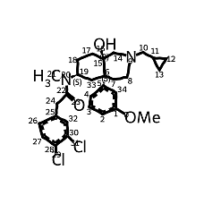 COc1cccc([C@@]23CCN(CC4CC4)C[C@@]2(O)CC[C@H](N(C)C(=O)Cc2ccc(Cl)c(Cl)c2)C3)c1